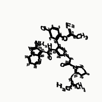 CC(F)Oc1ccc(Cl)cc1-c1nn(CC(=O)N2CCC[C@@H]2CN(C)C)cc1NC(=O)c1c(N)nn2cccnc12